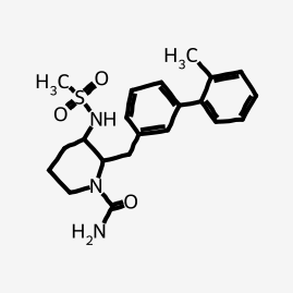 Cc1ccccc1-c1cccc(CC2C(NS(C)(=O)=O)CCCN2C(N)=O)c1